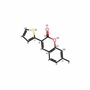 Cc1ccc2cc(-c3cccs3)c(=O)oc2c1